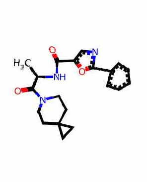 CC(NC(=O)c1cnc(-c2ccccc2)o1)C(=O)N1CCC2(CC1)CC2